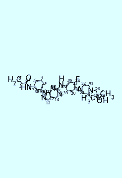 C=CC(=O)Nc1cccc(-n2ncc3cnc(Nc4ccc(N5CCN(CC(C)(C)O)CC5)c(F)c4)nc32)c1